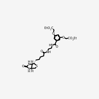 CCOC(=O)COc1cc(OCC(=O)OCC)cc(C(=O)NCCNC(=O)CCCC[C@@H]2SC[C@@H]3NC(=O)N[C@@H]32)c1